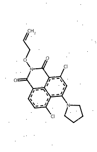 C=CCON1C(=O)c2ccc(Cl)c3c(N4CCCC4)cc(Cl)c(c23)C1=O